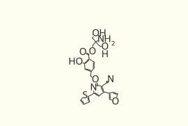 N#Cc1c(-c2ccoc2)cc(-c2cccs2)nc1OCc1ccc(C(=O)OCC(N)(CO)CO)c(O)c1